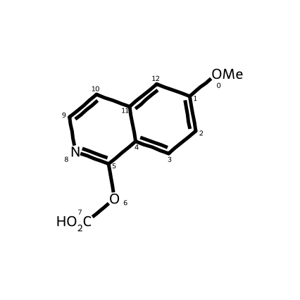 COc1ccc2c(OC(=O)O)nccc2c1